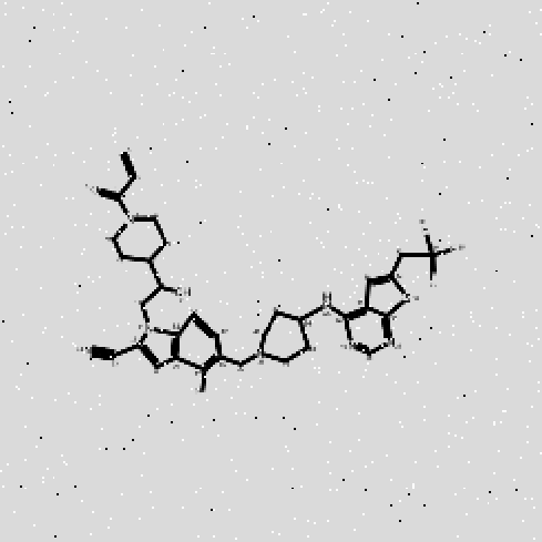 C=CC(=O)N1CCC(C(O)Cn2c(C#N)cc3c(C)c(CN4CCC(Nc5ncnc6sc(CC(F)(F)F)cc56)CC4)ccc32)CC1